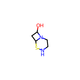 OC1CC2SNCCN12